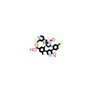 COc1ncc(-c2c(C)cc(C(=O)O)cc2C)cc1-c1ccc(C(F)(F)F)cc1[C@@H]1CC[C@H]2[C@@H](c3ccnc(C(F)(F)F)c3)SC(=O)N12